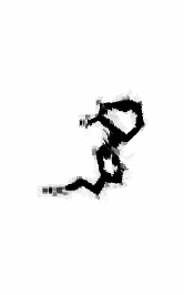 CCCc1cnn(-c2cccnc2N)c1